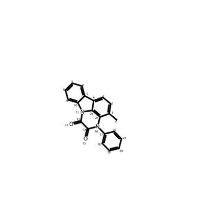 Cc1ccc2c3ccccc3n3c(=O)c(=O)n(-c4ccccc4)c1c23